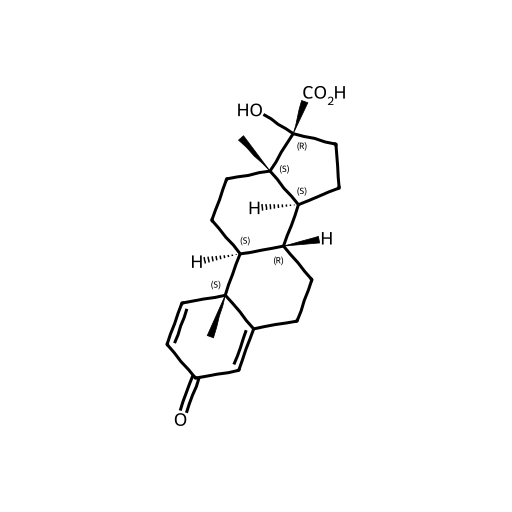 C[C@]12C=CC(=O)C=C1CC[C@@H]1[C@@H]2CC[C@@]2(C)[C@H]1CC[C@]2(O)C(=O)O